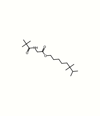 CC(C)C(C)(C)CCCCCOC(=O)CNC(=O)C(C)(C)C